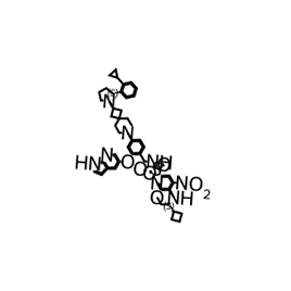 O=C(NS(=O)(=O)c1cc([N+](=O)[O-])c2c(n1)OC[C@H](C1CCC1)N2)c1ccc(N2CCC3(CC2)CC(N2CCC[C@H]2c2ccccc2C2CC2)C3)cc1Oc1cnc2[nH]ccc2c1